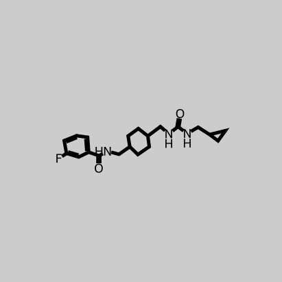 O=C(NCC1CC1)NCC1CCC(CNC(=O)c2cccc(F)c2)CC1